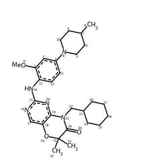 COc1cc(N2CCC(C)CC2)ccc1Nc1ncc2c(n1)N(CC1CCCCC1)C(=O)C(C)(C)O2